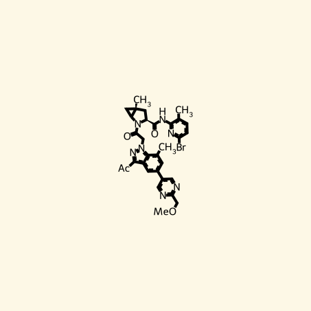 COCc1ncc(-c2cc(C)c3c(c2)c(C(C)=O)nn3CC(=O)N2C3C[C@]3(C)C[C@H]2C(=O)Nc2nc(Br)ccc2C)cn1